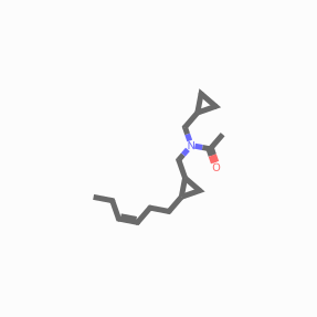 CC/C=C\CCC1CC1CN(CC1CC1)C(C)=O